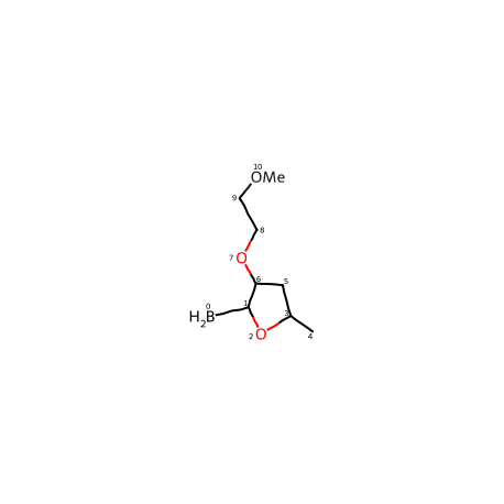 BC1OC(C)CC1OCCOC